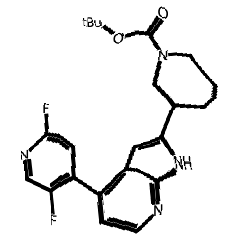 CC(C)(C)OC(=O)N1CCCC(c2cc3c(-c4cc(F)ncc4F)ccnc3[nH]2)C1